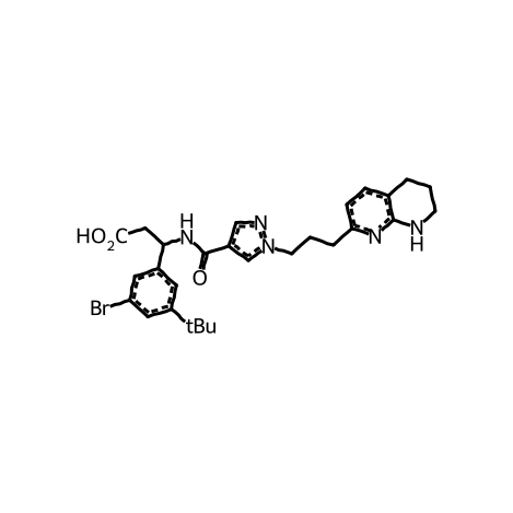 CC(C)(C)c1cc(Br)cc(C(CC(=O)O)NC(=O)c2cnn(CCCc3ccc4c(n3)NCCC4)c2)c1